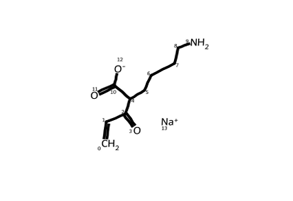 C=CC(=O)C(CCCCN)C(=O)[O-].[Na+]